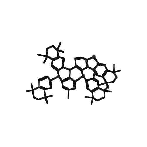 Cc1cc2c3c(c1)N(c1cc4c(cc1C)C(C)(C)CCC4(C)C)c1c(ccc4oc5cc6c(cc5c14)C(C)(C)CCC6(C)C)B3c1cc3c(cc1N2c1ccc2c(c1)C(C)(C)CCC2(C)C)C(C)(C)CCC3(C)C